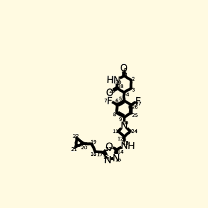 O=C1CCC(c2c(F)cc(N3CC(Nc4nnc(CCC5CC5)o4)C3)cc2F)C(=O)N1